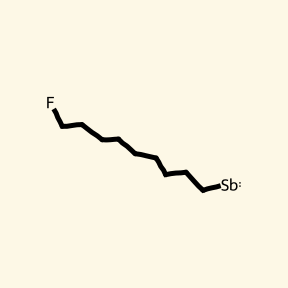 FCCCCCCCC[CH2][Sb]